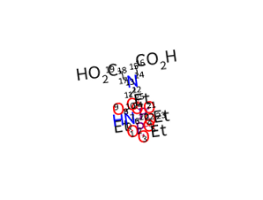 CCOP(=O)(OCC)C(NC(=O)OCCN(CCC(=O)O)CCC(=O)O)P(=O)(OCC)OCC